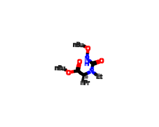 CCCCONC(=O)N(CC)[C@@H](CCC)C(=O)OCCCC